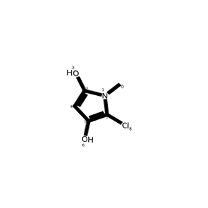 Cn1c(O)cc(O)c1Cl